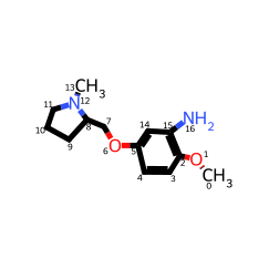 COc1ccc(OCC2CCCN2C)cc1N